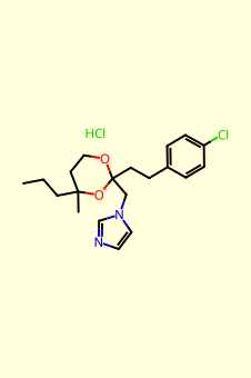 CCCC1(C)CCOC(CCc2ccc(Cl)cc2)(Cn2ccnc2)O1.Cl